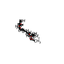 CCCCOc1cccc(Oc2cc3c(cc2NS(=O)(=O)c2cccc(C(=O)NCCCNC(=O)CN4CCN(C(=O)c5ccc(Nc6nc(C7CC7)cn7c(-c8cn[nH]c8)cnc67)c(F)c5)CC4)c2)n(C)c(=O)n3C)c1